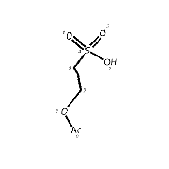 CC(=O)OCCS(=O)(=O)O